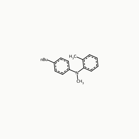 CCCCc1ccc(N(C)c2ccccc2C)cc1